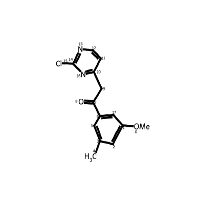 COc1cc(C)cc(C(=O)Cc2ccnc(Cl)n2)c1